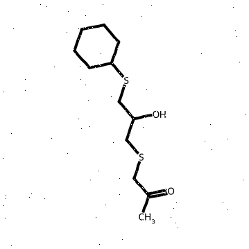 CC(=O)CSCC(O)CSC1CCCCC1